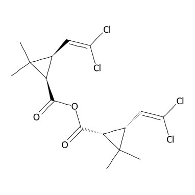 CC1(C)[C@H](C(=O)OC(=O)[C@@H]2[C@H](C=C(Cl)Cl)C2(C)C)[C@@H]1C=C(Cl)Cl